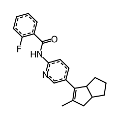 CC1=C(c2ccc(NC(=O)c3ccccc3F)nc2)C2CCCC2C1